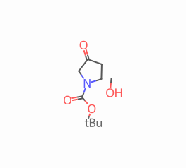 CC(C)(C)OC(=O)N1CCC(=O)C1.CO